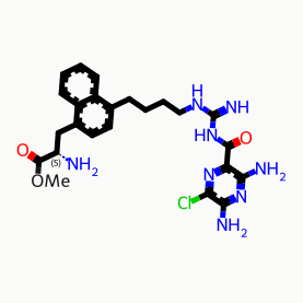 COC(=O)[C@@H](N)Cc1ccc(CCCCNC(=N)NC(=O)c2nc(Cl)c(N)nc2N)c2ccccc12